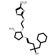 CCOC(=O)c1csc(SCC[C@@H]2[C@H](/C=C/CC(C)(O)CC3CCCCC3)CC[C@@H]2OC(C)=O)n1